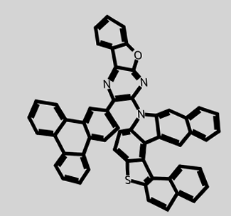 c1ccc2cc3c(cc2c1)c1c2c(ccc1n3-c1nc3oc4ccccc4c3nc1-c1ccc3c4ccccc4c4ccccc4c3c1)sc1ccc3ccccc3c12